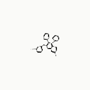 Brc1cccc(Cc2cc3cc(Br)ccc3c(-c3ccccc3)c2-c2ccccc2)c1